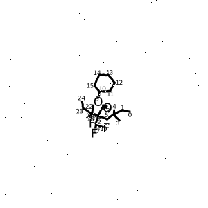 CCC(C)(C)CC(C(=O)OC1CCCCC1)(C(F)(F)F)C(C)(C)CC